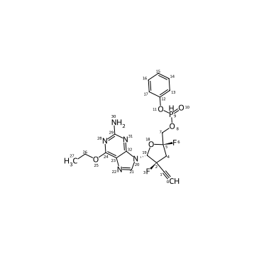 C#C[C@@]1(F)C[C@@](F)(CO[PH](=O)Oc2ccccc2)O[C@H]1n1cnc2c(OCC)nc(N)nc21